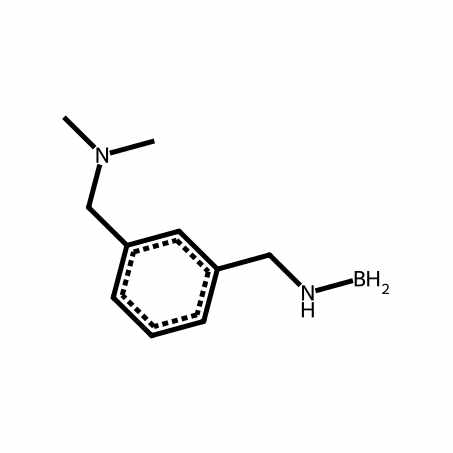 BNCc1cccc(CN(C)C)c1